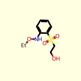 CCONc1ccccc1S(=O)(=O)CCO